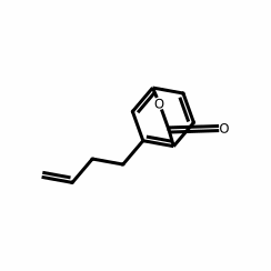 C=CCCc1cc2ccc1c(=O)o2